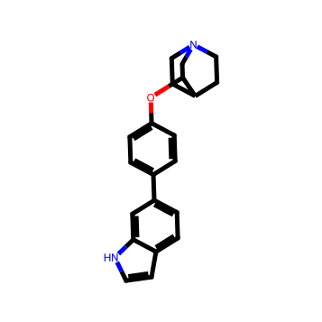 c1cc2ccc(-c3ccc(OC4CN5CCC4CC5)cc3)cc2[nH]1